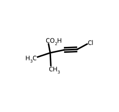 CC(C)(C#CCl)C(=O)O